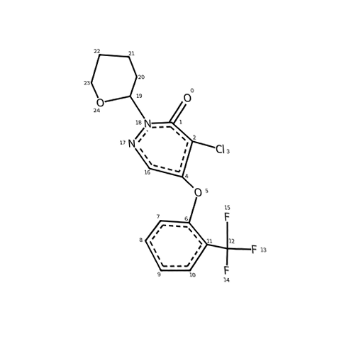 O=c1c(Cl)c(Oc2ccccc2C(F)(F)F)cnn1C1CCCCO1